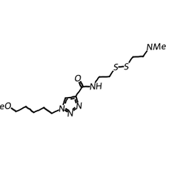 CNCCSSCCNC(=O)c1cn(CCCCCOC)nn1